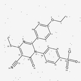 CCOc1ccc(-c2nc(SC)c(C#N)c(=O)n2-c2ccc(S(=O)(=O)Cl)cc2)cc1